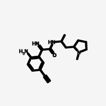 C#Cc1ccc(N)c(C(=N)C(=O)NC(C)CC2CCCN2C)c1